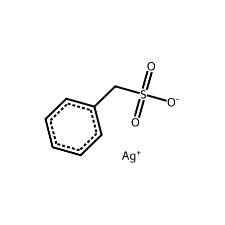 O=S(=O)([O-])Cc1ccccc1.[Ag+]